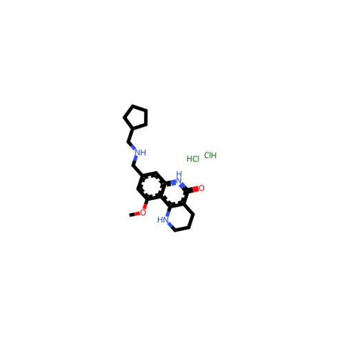 COc1cc(CNCC2CCCC2)cc2[nH]c(=O)c3c(c12)NCCC3.Cl.Cl